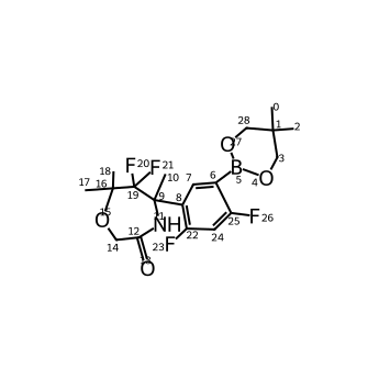 CC1(C)COB(c2cc(C3(C)NC(=O)COC(C)(C)C3(F)F)c(F)cc2F)OC1